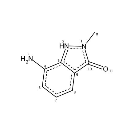 Cn1[nH]c2c(N)cccc2c1=O